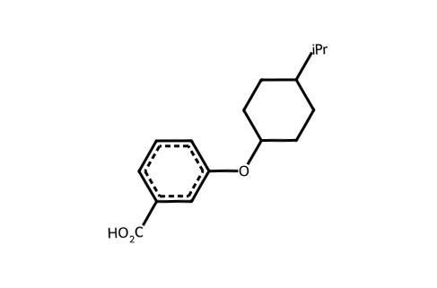 CC(C)C1CCC(Oc2cccc(C(=O)O)c2)CC1